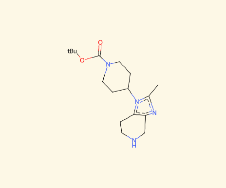 Cc1nc2c(n1C1CCN(C(=O)OC(C)(C)C)CC1)CCNC2